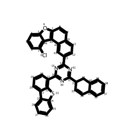 Clc1cccc2oc3ccc4ccc(-c5nc(-c6cccc7c6sc6ccccc67)nc(C6C=Cc7ccccc7C6)n5)cc4c3c12